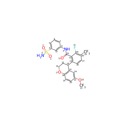 NS(=O)(=O)c1cccc(NC(=O)c2c(C3CCOc4ccc(OC(F)(F)F)cc43)ccc(C(F)(F)F)c2F)c1